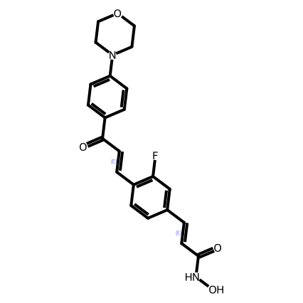 O=C(/C=C/c1ccc(/C=C/C(=O)c2ccc(N3CCOCC3)cc2)c(F)c1)NO